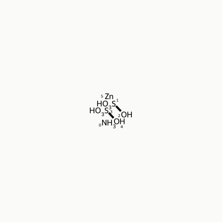 N.O=S(=O)(O)O.O=S(=O)(O)O.[Zn]